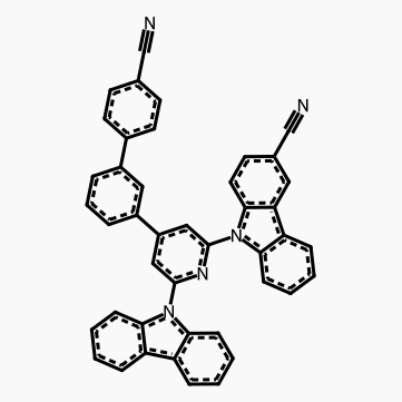 N#Cc1ccc(-c2cccc(-c3cc(-n4c5ccccc5c5ccccc54)nc(-n4c5ccccc5c5cc(C#N)ccc54)c3)c2)cc1